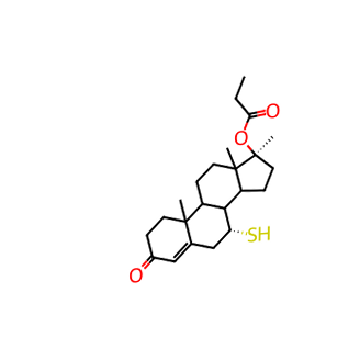 CCC(=O)O[C@@]1(C)CCC2C3C(CCC21C)C1(C)CCC(=O)C=C1C[C@H]3S